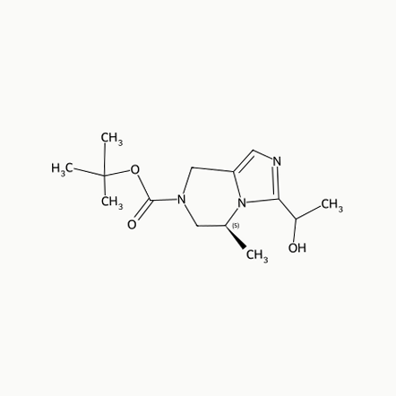 CC(O)c1ncc2n1[C@@H](C)CN(C(=O)OC(C)(C)C)C2